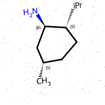 CC(C)[C@@H]1CC[C@H](C)C[C@H]1N